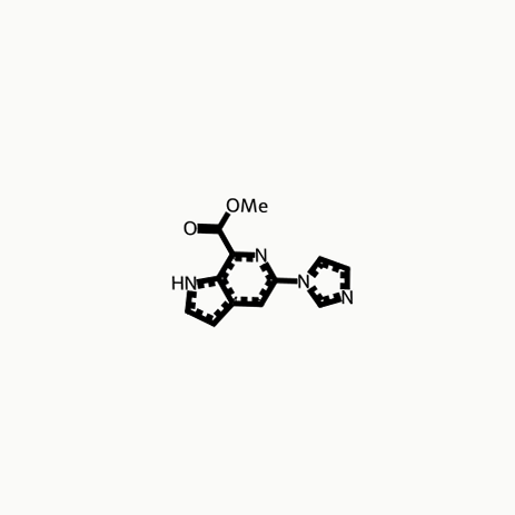 COC(=O)c1nc(-n2ccnc2)cc2cc[nH]c12